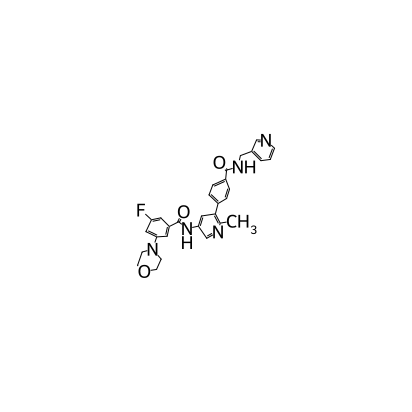 Cc1ncc(NC(=O)c2cc(F)cc(N3CCOCC3)c2)cc1-c1ccc(C(=O)NCc2cccnc2)cc1